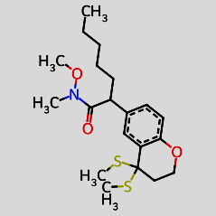 CCCCCC(C(=O)N(C)OC)c1ccc2c(c1)C(SC)(SC)CCO2